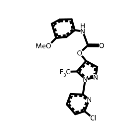 COc1cccc(NC(=O)Oc2cnn(-c3cccc(Cl)n3)c2C(F)(F)F)c1